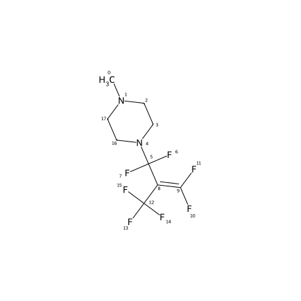 CN1CCN(C(F)(F)C(=C(F)F)C(F)(F)F)CC1